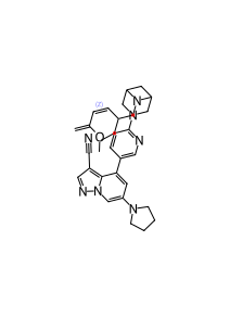 C=C(/C=C\C(CC)CN1C2CC1CN(c1ccc(-c3cc(N4CCCC4)cn4ncc(C#N)c34)cn1)C2)OC